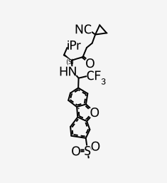 CC(C)C[C@H](NC(c1ccc2c(c1)oc1cc(S(C)(=O)=O)ccc12)C(F)(F)F)C(=O)CCC1(C#N)CC1